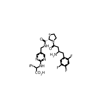 CC(C)C(Nc1ncc(CNC(=O)[C@@H]2SCCN2C(=O)CC(N)Cc2cc(F)c(F)cc2F)cn1)C(=O)O